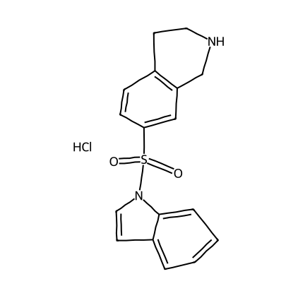 Cl.O=S(=O)(c1ccc2c(c1)CNCC2)n1ccc2ccccc21